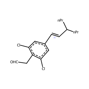 CCCC(/C=C/c1cc(Cl)c(CC=O)c(Cl)c1)CCC